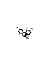 CON=C1C=C[C@H]2[C@H]3CC4C=CC(OC)=C5O[C@@H]1[C@]2(CCN3C)C54